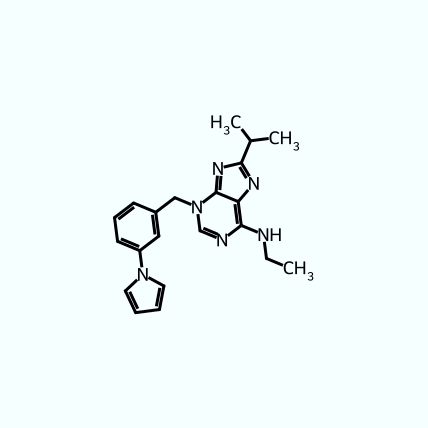 CCNc1ncn(Cc2cccc(-n3cccc3)c2)c2nc(C(C)C)nc1-2